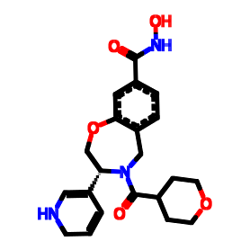 O=C(NO)c1ccc2c(c1)OC[C@@H](C1=CNCC=C1)N(C(=O)C1CCOCC1)C2